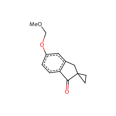 COCOc1ccc2c(c1)CC1(CC1)C2=O